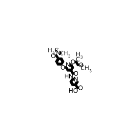 COC[C@@H](C)Oc1cc(C(=O)Nc2ccc(C(=O)O)cn2)cc(Oc2ccc(C(=O)N(C)C)cc2)n1